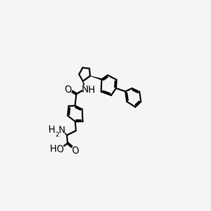 N[C@@H](Cc1ccc(C(=O)N[C@H]2CCC[C@H]2c2ccc(-c3ccccc3)cc2)cc1)C(=O)O